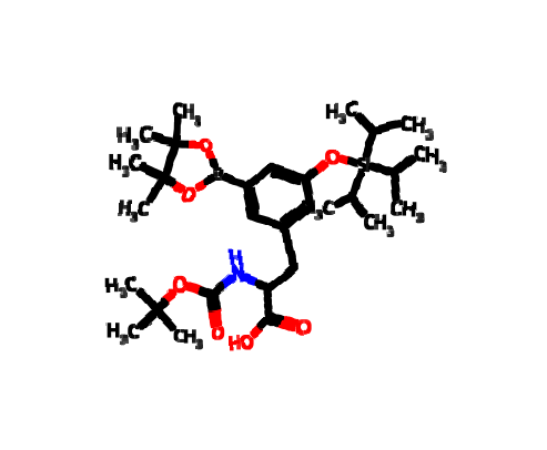 CC(C)[Si](Oc1cc(CC(NC(=O)OC(C)(C)C)C(=O)O)cc(B2OC(C)(C)C(C)(C)O2)c1)(C(C)C)C(C)C